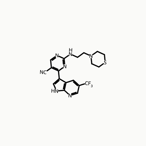 N#Cc1cnc(NCCN2CCSCC2)nc1-c1c[nH]c2ncc(C(F)(F)F)cc12